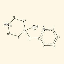 OC1(Cc2ccccn2)CCNCC1